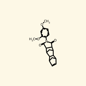 COc1ccc(N2C(=O)C3C4CC(C3C2=O)C2C3C=CC(C3)C42)c(OC)c1